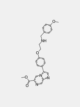 COC(=O)c1cn2c(-c3ccc(OCCNCc4ccc(OC)cc4)cc3)cnc2cn1